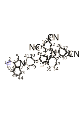 C/C=C\c1c(C)n(C2C=CC(c3cccc(-c4c(C#N)cc(C#N)cc4N4c5ccc(C#N)cc5C5C=CCC=CC54)c3)=CC2)c2ccccc12